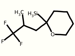 CC(CC1([SiH3])CCCCO1)C(F)(F)F